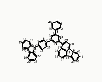 c1ccc(-c2cc(-c3ccc(-n4c5ccccc5c5ccccc54)cc3)nc(-c3ccc4c5c(cccc35)-c3ccccc3-4)n2)cc1